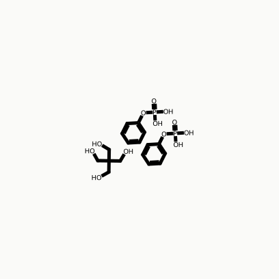 O=P(O)(O)Oc1ccccc1.O=P(O)(O)Oc1ccccc1.OCC(CO)(CO)CO